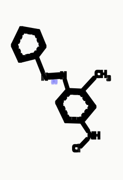 Cc1cc(NCl)ccc1/N=N/c1ccccc1